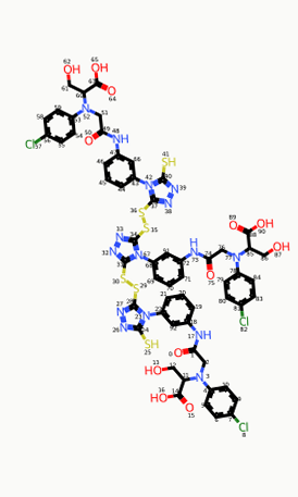 O=C(CN(c1ccc(Cl)cc1)C(CO)C(=O)O)Nc1cccc(-n2c(S)nnc2SSc2nnc(SSc3nnc(S)n3-c3cccc(NC(=O)CN(c4ccc(Cl)cc4)C(CO)C(=O)O)c3)n2-c2cccc(NC(=O)CN(c3ccc(Cl)cc3)C(CO)C(=O)O)c2)c1